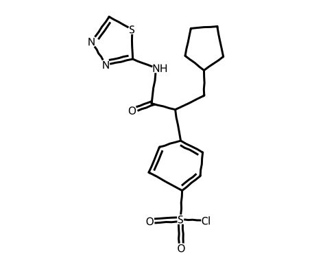 O=C(Nc1nncs1)C(CC1CCCC1)c1ccc(S(=O)(=O)Cl)cc1